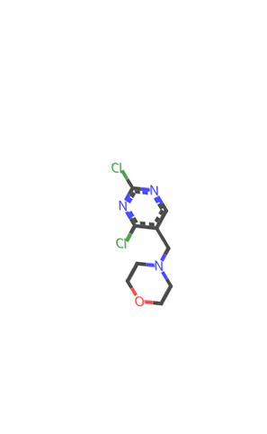 Clc1ncc(CN2CCOCC2)c(Cl)n1